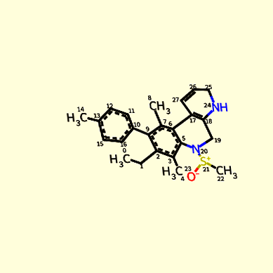 CCc1c(C)c2c(c(C)c1-c1ccc(C)cc1)C1=C(CN2[S+](C)[O-])NCC=C1